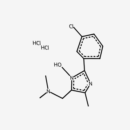 Cc1nc(-c2cccc(Cl)c2)n(O)c1CN(C)C.Cl.Cl